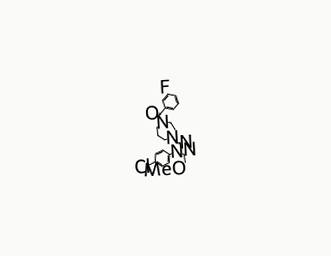 COCc1nnc(N2CCCN(C(=O)c3cccc(F)c3)CC2)n1-c1ccc(Cl)cc1